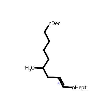 [CH2]CCCCCC/C=C/CC(C)CCCCCCCCCCCCC[CH2]